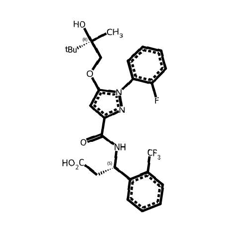 CC(C)(C)[C@@](C)(O)COc1cc(C(=O)N[C@@H](CC(=O)O)c2ccccc2C(F)(F)F)nn1-c1ccccc1F